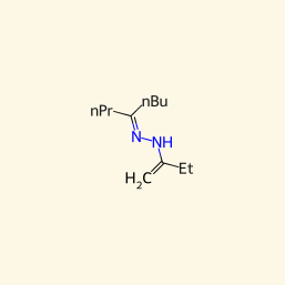 C=C(CC)N/N=C(/CCC)CCCC